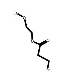 CCOCCOC(=O)C[CH2][Sn]